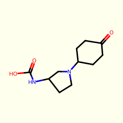 O=C1CCC(N2CCC(NC(=O)O)C2)CC1